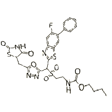 CCCCOC(=O)NCCS(=O)(=O)C(c1nnc(CC2SC(=O)NC2=O)o1)c1nc2cc(F)c(-c3ccccc3)cc2s1